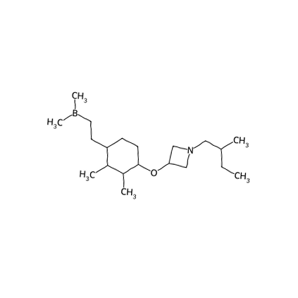 CCC(C)CN1CC(OC2CCC(CCB(C)C)C(C)C2C)C1